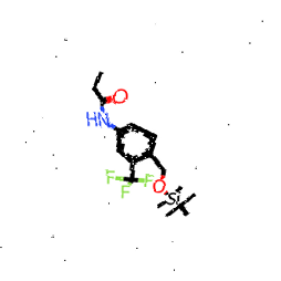 CCC(=O)Nc1ccc(CO[Si](C)(C)C(C)(C)C)c(C(F)(F)F)c1